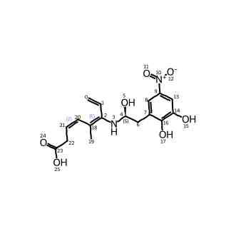 C=C/C(N[C@@H](O)Cc1cc([N+](=O)[O-])cc(O)c1O)=C(C)\C=C/CC(=O)O